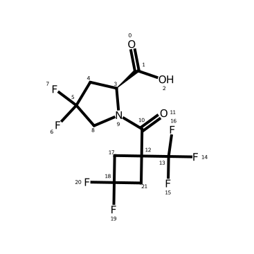 O=C(O)[C@@H]1CC(F)(F)CN1C(=O)C1(C(F)(F)F)CC(F)(F)C1